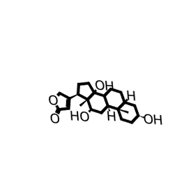 C[C@]12CC[C@@H](O)C[C@H]1CCC1[C@@H]2C[C@@H](O)[C@]2(C)[C@@H](C3=CC(=O)OC3)CC[C@]12O